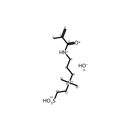 C=C(C)C(=O)NCCC[N+](C)(C)CCS(=O)(=O)O.[OH-]